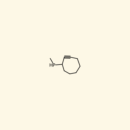 CPC1C#CCCCCC1